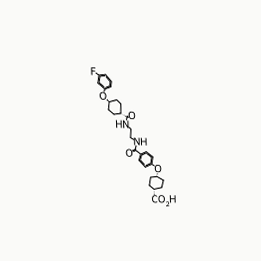 O=C(NCCNC(=O)[C@H]1CC[C@H](Oc2cccc(F)c2)CC1)c1ccc(O[C@H]2CC[C@@H](C(=O)O)CC2)cc1